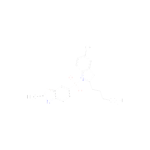 Cc1nc2ccc(S(=O)(=O)n3c(CCCC(=O)O)cc4cc(C(F)(F)F)ccc43)cc2s1